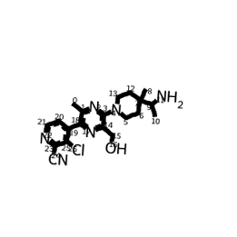 Cc1nc(N2CCC(C)(C(C)N)CC2)c(CO)nc1-c1ccnc(C#N)c1Cl